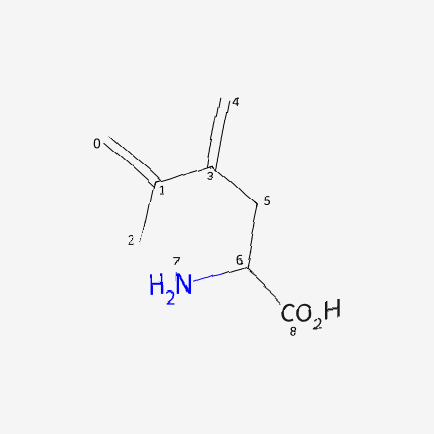 C=C(C)C(=C)CC(N)C(=O)O